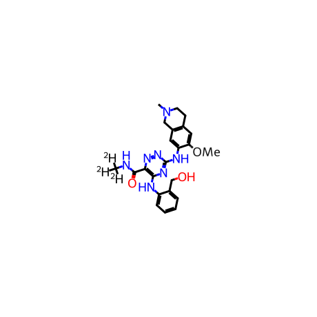 [2H]C([2H])([2H])NC(=O)c1nnc(Nc2cc3c(cc2OC)CCN(C)C3)nc1Nc1ccccc1CO